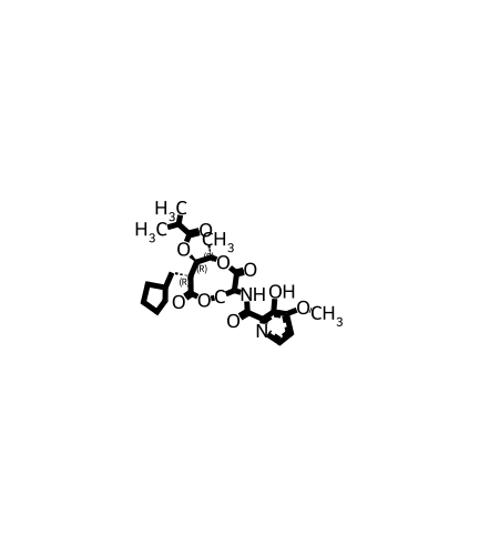 COc1ccnc(C(=O)NC2COC(=O)[C@H](CC3CCCC3)[C@@H](OC(=O)C(C)C)[C@H](C)OC2=O)c1O